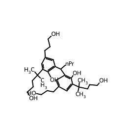 CCCC(c1cc(CCCO)cc(C(C)(C)CCCO)c1O)c1cc(CCCO)cc(C(C)(C)CCCO)c1O